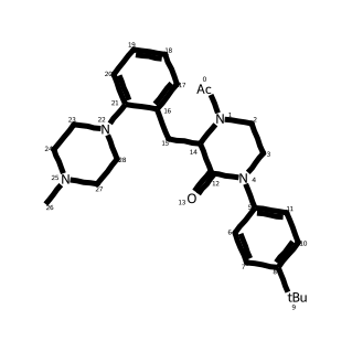 CC(=O)N1CCN(c2ccc(C(C)(C)C)cc2)C(=O)C1Cc1ccccc1N1CCN(C)CC1